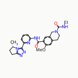 CCNC(=O)N1CCc2cc(OC)c(C(=O)Nc3cccc(-c4nnc5n4[C@@H](C)CC5)n3)cc2C1